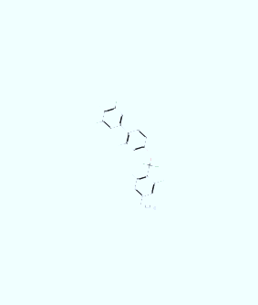 COc1cc(F)c(C(F)(F)Oc2ccc(-c3cc(F)c(F)c(F)c3)c(F)c2)c(F)c1